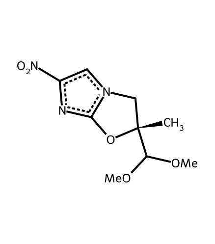 COC(OC)[C@@]1(C)Cn2cc([N+](=O)[O-])nc2O1